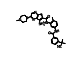 Cc1ccc(NC(=O)c2cccc(C(C)(C)C#N)c2)cc1NC(=O)c1sc2ncc(N3CCN(C)CC3)nc2c1N